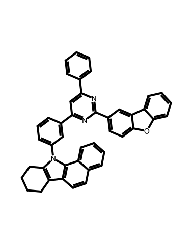 c1ccc(-c2cc(-c3cccc(-n4c5c(c6ccc7ccccc7c64)CCCC5)c3)nc(-c3ccc4oc5ccccc5c4c3)n2)cc1